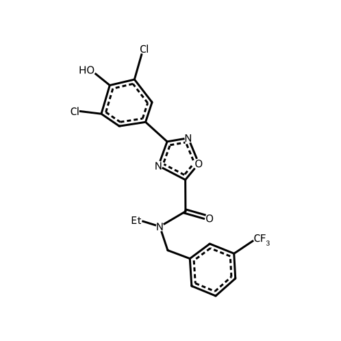 CCN(Cc1cccc(C(F)(F)F)c1)C(=O)c1nc(-c2cc(Cl)c(O)c(Cl)c2)no1